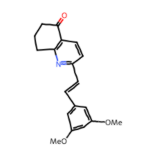 COc1cc(C=Cc2ccc3c(n2)CCCC3=O)cc(OC)c1